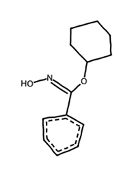 ON=C(OC1CCCCC1)c1ccccc1